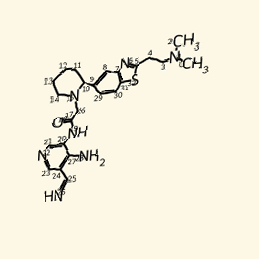 CN(C)CCc1nc2cc([C@@H]3CCCCN3CC(=O)Nc3cncc(C=N)c3N)ccc2s1